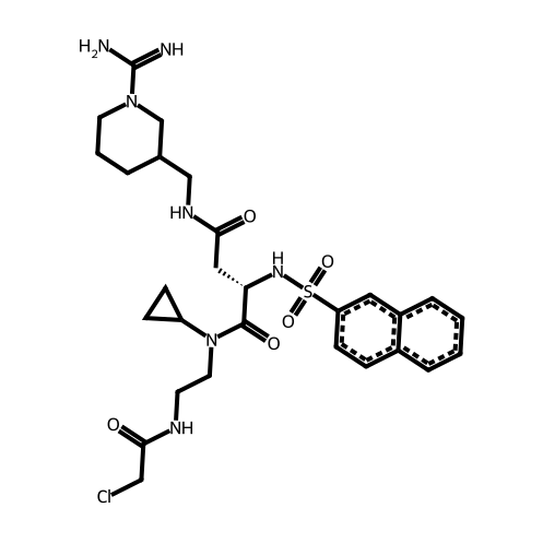 N=C(N)N1CCCC(CNC(=O)C[C@H](NS(=O)(=O)c2ccc3ccccc3c2)C(=O)N(CCNC(=O)CCl)C2CC2)C1